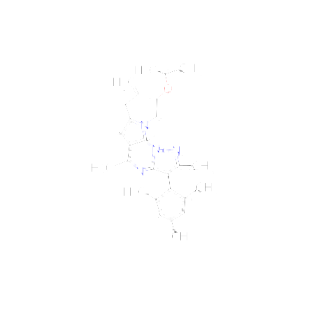 C=CCc1cc2c(C)nc3c(-c4c(C)cc(C)cc4C)c(C)nn3c2n1CCOC(C)C